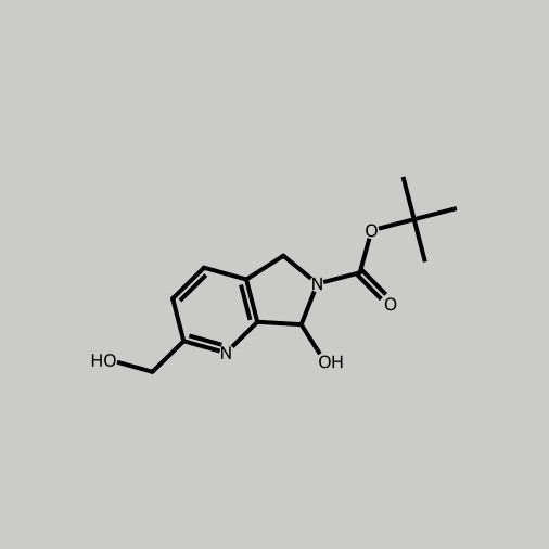 CC(C)(C)OC(=O)N1Cc2ccc(CO)nc2C1O